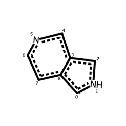 [c]1[nH]cc2cnccc12